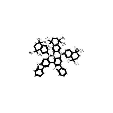 CC1(C)CCC(C)(C)c2cc(N3B4c5cc6c(cc5N(c5ccc7c(c5)C(C)(C)CCC7(C)C)c5cc7c(oc8ccccc87)c(c54)-c4cc5c(cc43)oc3ccccc35)C(C)(C)CCC6(C)C)ccc21